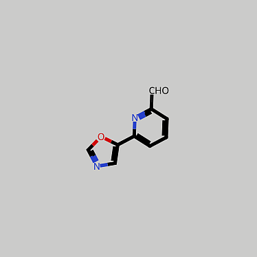 O=Cc1cccc(-c2cnco2)n1